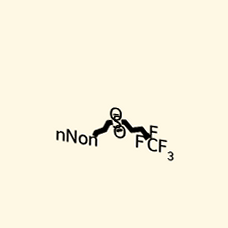 [CH2]CCCCCCCCCCCS(=O)(=O)CCCC(F)(F)C(F)(F)F